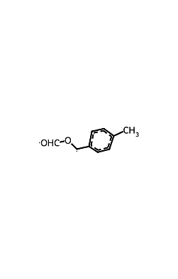 Cc1ccc([CH]O[C]=O)cc1